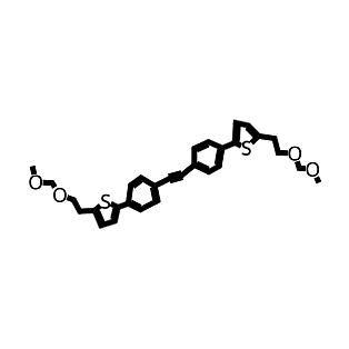 COCOCCc1ccc(-c2ccc(C#Cc3ccc(-c4ccc(CCOCOC)s4)cc3)cc2)s1